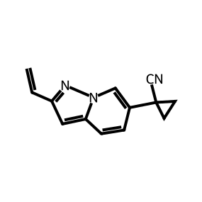 C=Cc1cc2ccc(C3(C#N)CC3)cn2n1